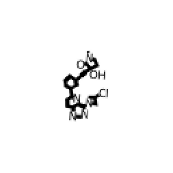 CN1CCC(O)(C#Cc2cccc(-c3ccc4ncnc(N5CC(Cl)C5)c4n3)c2)C1=O